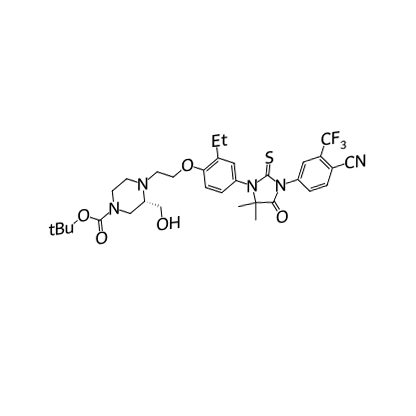 CCc1cc(N2C(=S)N(c3ccc(C#N)c(C(F)(F)F)c3)C(=O)C2(C)C)ccc1OCCN1CCN(C(=O)OC(C)(C)C)C[C@H]1CO